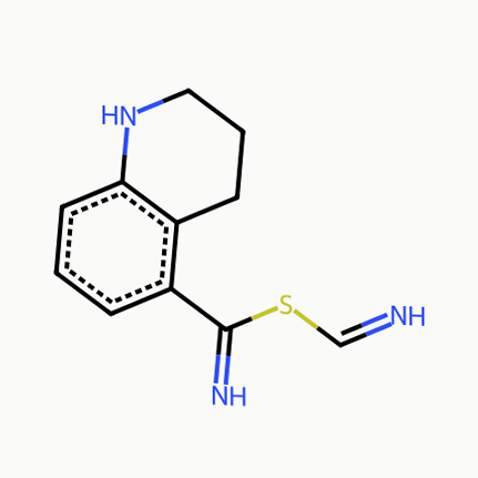 N=CSC(=N)c1cccc2c1CCCN2